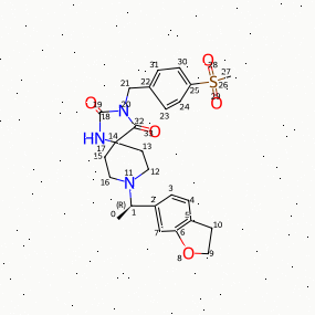 C[C@H](c1ccc2c(c1)OCC2)N1CCC2(CC1)NC(=O)N(Cc1ccc(S(C)(=O)=O)cc1)C2=O